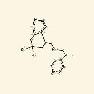 CCC1(CC)CC(CNCC(C)c2ccccc2)c2ccccc2O1